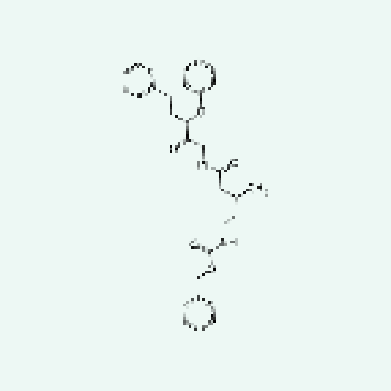 CC(CCNC(=O)OCc1ccccc1)CC(=O)NCC(=O)C(CCc1ccccc1)Oc1ccccc1